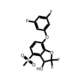 CS(=O)(=O)c1ccc(Oc2cc(F)cc(F)c2)c2c1C(O)C(F)(F)O2